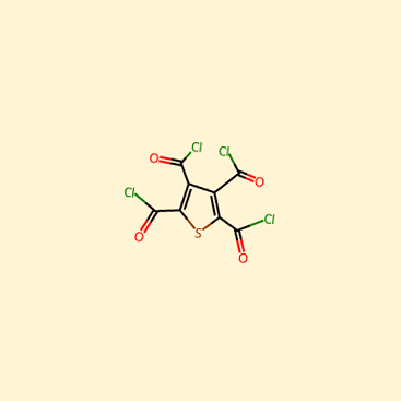 O=C(Cl)c1sc(C(=O)Cl)c(C(=O)Cl)c1C(=O)Cl